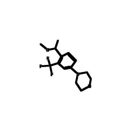 COC(C)c1ccc(N2CCOCC2)cc1C(F)(F)F